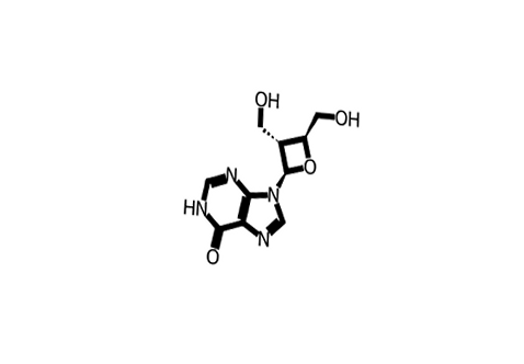 O=c1[nH]cnc2c1ncn2[C@@H]1O[C@H](CO)[C@H]1CO